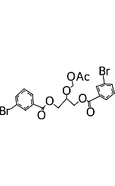 CC(=O)OCOC(COC(=O)c1cccc(Br)c1)COC(=O)c1cccc(Br)c1